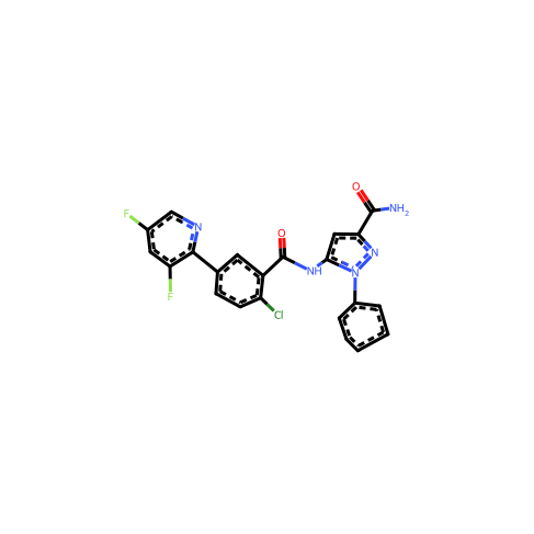 NC(=O)c1cc(NC(=O)c2cc(-c3ncc(F)cc3F)ccc2Cl)n(-c2ccccc2)n1